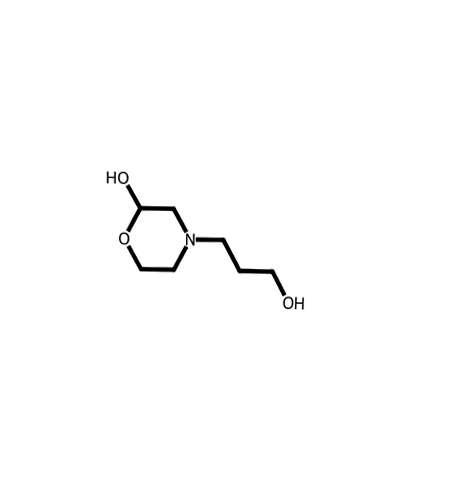 OCCCN1CCOC(O)C1